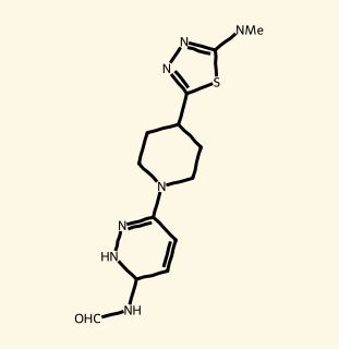 CNc1nnc(C2CCN(C3=NNC(NC=O)C=C3)CC2)s1